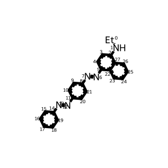 CCNc1ccc(/N=N/c2ccc(/N=N/c3ccccc3)cc2)c2ccccc12